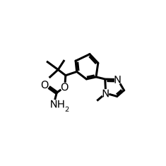 Cn1ccnc1-c1cccc(C(OC(N)=O)C(C)(C)C)c1